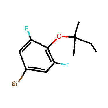 CCC(C)(C)Oc1c(F)cc(Br)cc1F